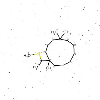 CSC(C)C1(C)CCCCCCC(C)(C)CCC1